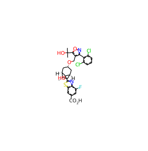 C[C@H]1C[C@@H]2C[C@@H](OCc3c(-c4c(Cl)cccc4Cl)noc3C(C)(C)O)C[C@H]1[C@]2(O)c1nc2c(F)cc(C(=O)O)cc2s1